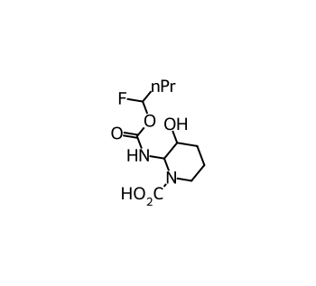 CCCC(F)OC(=O)NC1C(O)CCCN1C(=O)O